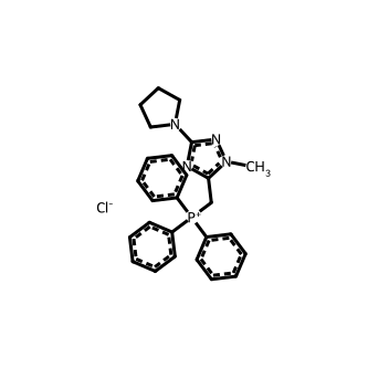 Cn1nc(N2CCCC2)nc1C[P+](c1ccccc1)(c1ccccc1)c1ccccc1.[Cl-]